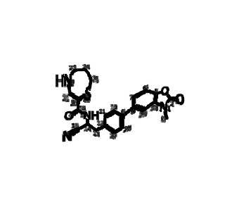 Cn1c(=O)oc2ccc(-c3ccc(CC(C#N)NC(=O)C4CNCCCS4)cc3)cc21